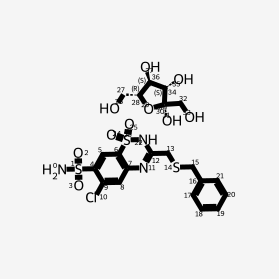 NS(=O)(=O)c1cc2c(cc1Cl)N=C(CSCc1ccccc1)NS2(=O)=O.OC[C@H]1O[C@](O)(CO)[C@@H](O)[C@@H]1O